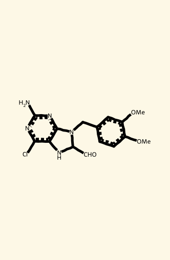 COc1ccc(CN2c3nc(N)nc(Cl)c3NC2C=O)cc1OC